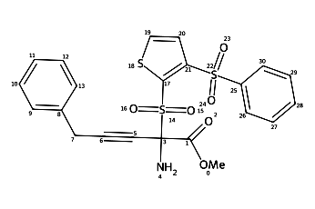 COC(=O)C(N)(C#CCc1ccccc1)S(=O)(=O)c1sccc1S(=O)(=O)c1ccccc1